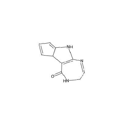 O=C1NCC=NC2=C1C1C=CC=C1N2